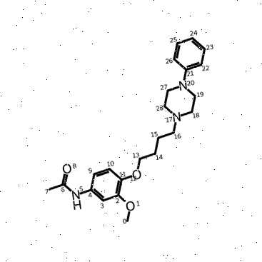 COc1cc(NC(C)=O)ccc1OCCCCN1CCN(c2ccccc2)CC1